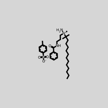 CCCCCCCCCCCCC(C)(C)[N+](C)(N)CCCNC(=O)c1ccccc1.Cc1ccc(S(=O)(=O)[O-])cc1